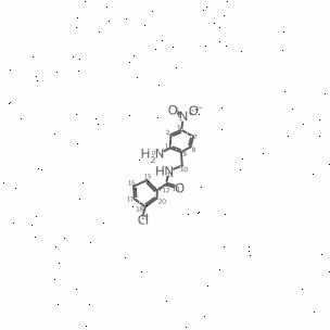 Nc1cc([N+](=O)[O-])ccc1CNC(=O)c1cccc(Cl)c1